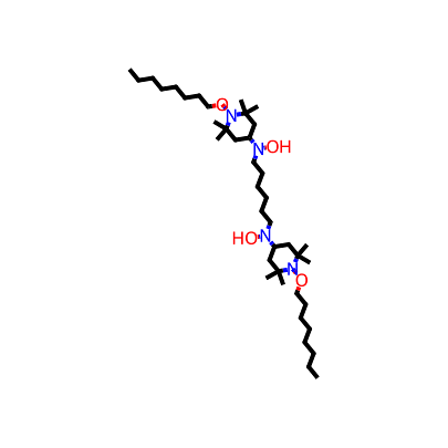 CCCCCCCCON1C(C)(C)CC(N(O)CCCCCCN(O)C2CC(C)(C)N(OCCCCCCCC)C(C)(C)C2)CC1(C)C